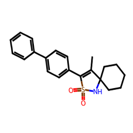 CC1=C(c2ccc(-c3ccccc3)cc2)S(=O)(=O)NC12CCCCC2